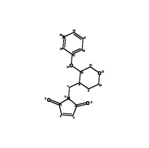 O=C1C=CC(=O)N1CC1CCOCC1Oc1cccnc1